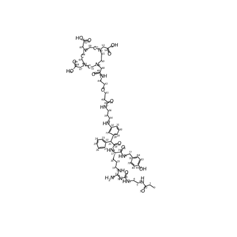 CCC(=O)NCCNC(=O)/N=C(/N)NCCC[C@@H](NC(=O)C(c1ccccc1)c1cccc(NCCCNC(=O)CCOCCNC(=O)CN2CCN(CC(=O)O)CCN(CC(=O)O)CCN(CC(=O)O)CC2)c1)C(=O)NCc1ccc(O)cc1